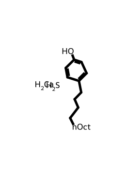 CCCCCCCCCCCCc1ccc(O)cc1.S.[CaH2]